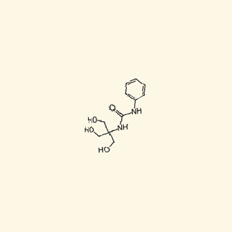 O=C(Nc1ccccc1)NC(CO)(CO)CO